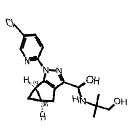 CC(C)(CO)NC(O)c1nn(-c2ccc(Cl)cn2)c2c1C[C@H]1C[C@@H]21